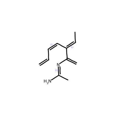 C=C/C=C\C(=C/C)C(=C)/N=C(\C)N